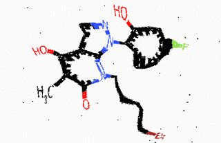 Cc1c(O)c2cnn(-c3ccc(F)cc3O)c2n(CCCCBr)c1=O